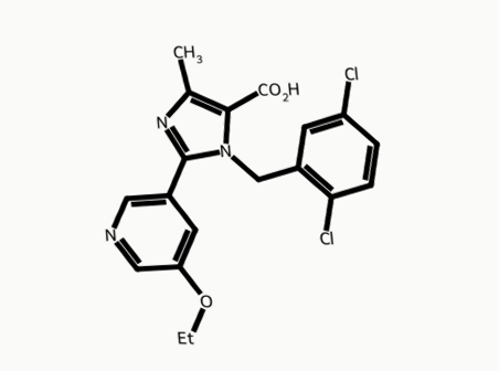 CCOc1cncc(-c2nc(C)c(C(=O)O)n2Cc2cc(Cl)ccc2Cl)c1